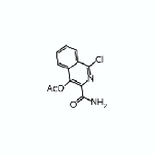 CC(=O)Oc1c(C(N)=O)nc(Cl)c2ccccc12